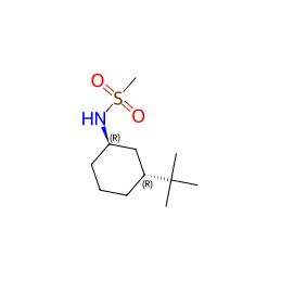 CC(C)(C)[C@@H]1CCC[C@@H](NS(C)(=O)=O)C1